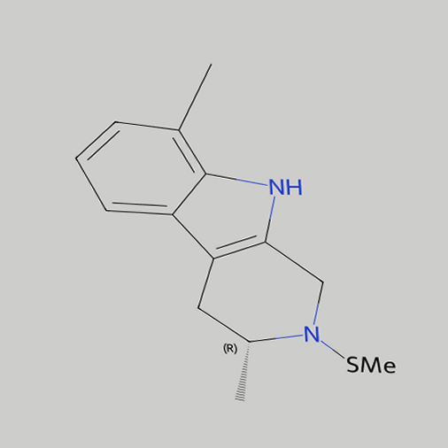 CSN1Cc2[nH]c3c(C)cccc3c2C[C@H]1C